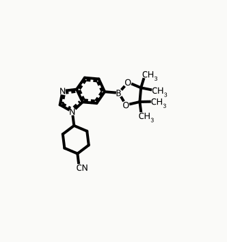 CC1(C)OB(c2ccc3ncn(C4CCC(C#N)CC4)c3c2)OC1(C)C